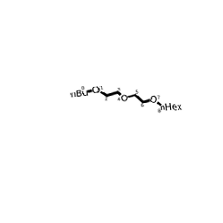 [CH2]CCCOCCOCCOCCCCCC